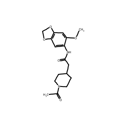 COc1cc2c(cc1NC(=O)CC1CCN(C(C)=O)CC1)OCO2